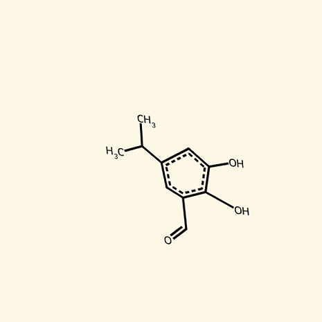 CC(C)c1cc(O)c(O)c(C=O)c1